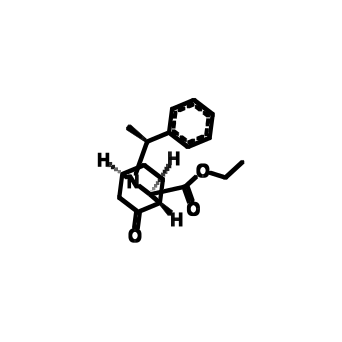 CCOC(=O)[C@H]1[C@@H]2CC[C@H](CC2=O)N1[C@@H](C)c1ccccc1